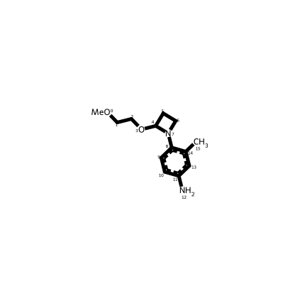 COCCOC1CCN1c1ccc(N)cc1C